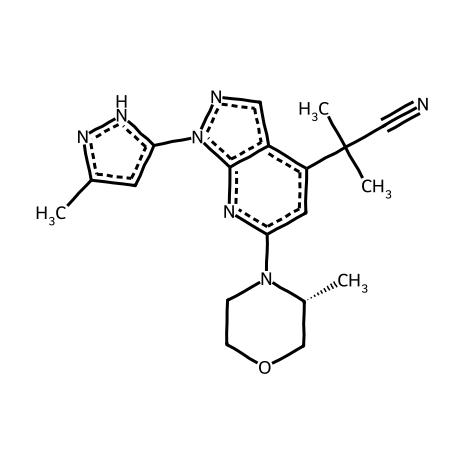 Cc1cc(-n2ncc3c(C(C)(C)C#N)cc(N4CCOC[C@H]4C)nc32)[nH]n1